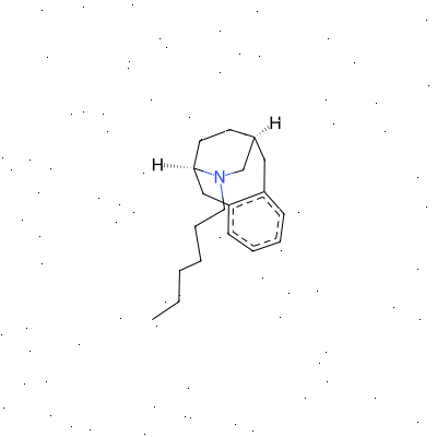 CCCCCCN1C[C@H]2CC[C@@H]1Cc1ccccc1C2